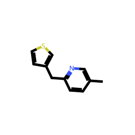 Cc1ccc(Cc2ccsc2)nc1